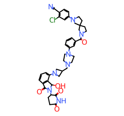 N#Cc1ccc(N2CCC3(CCN(C(=O)c4cccc(N5CCN(CC6CN(c7cccc8c7C(O)N(C7CCC(=O)NC7=O)C8=O)C6)CC5)c4)C3)C2)cc1Cl